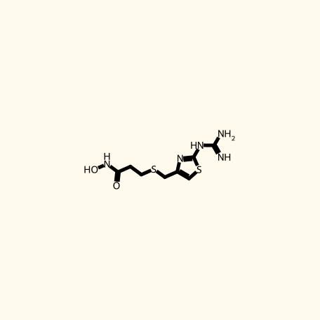 N=C(N)Nc1nc(CSCCC(=O)NO)cs1